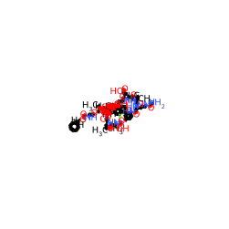 CCCC1O[C@@H]2CC3[C@@H]4C[C@H](F)C5=CC(=O)C=C[C@]5(C)[C@@]4(F)[C@@H](O)C[C@]3(C)[C@]2(C(=O)COC(=O)[C@H](CC(C)C)NC(=O)[C@H](CO)NC(=O)OCc2ccc(NC(=O)[C@H](CCCNC(N)=O)NC(=O)[C@@H](NC(=O)[C@@H](CCC(=O)O)NC(=O)CCOCCOCCOCCOCCNC(=O)OC[C@@H]3[C@@H]4CC/C=C\CC[C@@H]43)C(C)C)cc2)O1